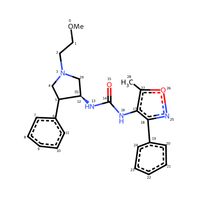 COCCN1CC(c2ccccc2)[C@H](NC(=O)Nc2c(-c3ccccc3)noc2C)C1